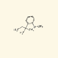 CCC(C)(P)c1ccccc1OC